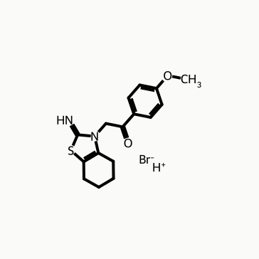 COc1ccc(C(=O)Cn2c3c(sc2=N)CCCC3)cc1.[Br-].[H+]